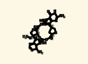 CO[C@]1(n2cnc3c(N)ncnc32)CO[C@]2(C)COP(O)(=S)O[C@@]3(N4NNc5c4nc(N)[nH]c5=O)CO[C@H](COP(O)(=S)O[C@H]21)C3